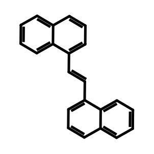 C(=C\c1cccc2ccccc12)/c1cccc2ccccc12